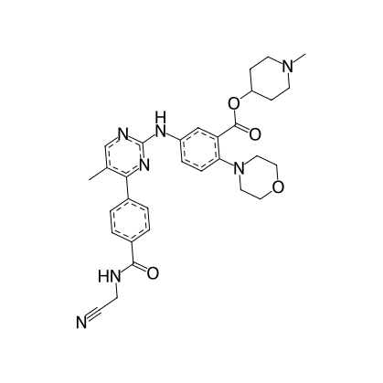 Cc1cnc(Nc2ccc(N3CCOCC3)c(C(=O)OC3CCN(C)CC3)c2)nc1-c1ccc(C(=O)NCC#N)cc1